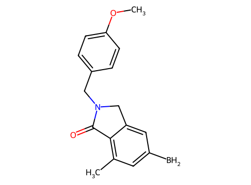 Bc1cc(C)c2c(c1)CN(Cc1ccc(OC)cc1)C2=O